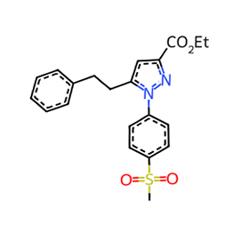 CCOC(=O)c1cc(CCc2ccccc2)n(-c2ccc(S(C)(=O)=O)cc2)n1